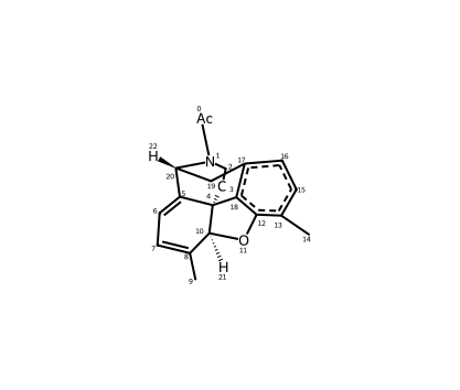 CC(=O)N1CC[C@@]23C4=CC=C(C)[C@@H]2Oc2c(C)ccc(c23)C[C@H]41